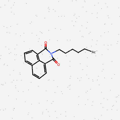 CC(=O)CCCCCN1C(=O)c2cccc3cccc(c23)C1=O